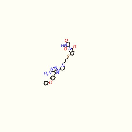 Nc1ncnc2c1c(-c1ccc(Oc3ccccc3)cc1)nn2[C@@H]1CCCN(CCCCSc2cccc3c2CN(C2CCC(=O)NC2=O)C3=O)C1